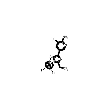 CC(=O)N1C[C@H]2[C@H]3C1[C@@]32n1cc(-c2cnc(N)c(C(F)(F)F)c2)nc1CC(F)(F)F